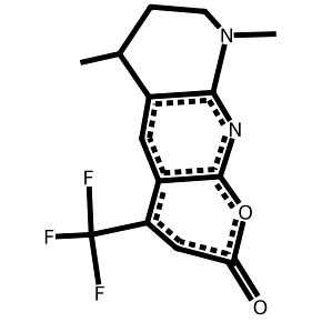 CC1CCN(C)c2nc3oc(=O)cc(C(F)(F)F)c3cc21